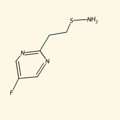 NSCCc1ncc(F)cn1